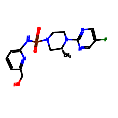 C[C@@H]1CN(S(=O)(=O)Nc2cccc(CO)n2)CCN1c1ncc(F)cn1